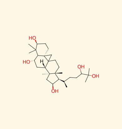 C[C@H](CCC(O)C(C)(C)O)[C@H]1[C@@H](O)C[C@@]2(C)[C@@H]3C[C@H](O)C4C(C)(C)[C@@H](O)CC[C@@]45CC35CC[C@]12C